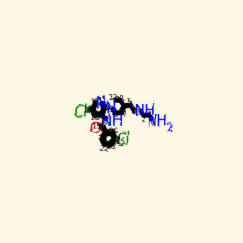 NCCNCCC1CCN(c2ncc(Cl)cc2NC(=O)c2cccc(Cl)c2)CC1